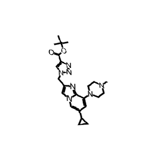 CN1CCN(c2cc(C3CC3)cn3cc(Cn4cc(C(=O)OC(C)(C)C)nn4)nc23)CC1